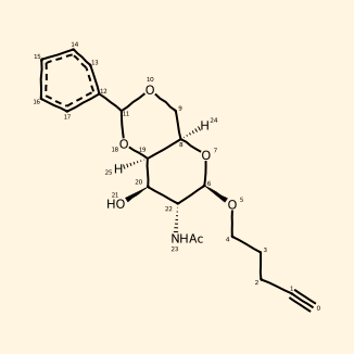 C#CCCCO[C@@H]1O[C@@H]2COC(c3ccccc3)O[C@@H]2[C@H](O)[C@H]1NC(C)=O